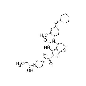 C=CC(O)N1CC[C@@H](NC(=O)c2sc3nccc4c3c2NC(=O)N4c2ccc(OC3CCCCC3)cc2C)C1